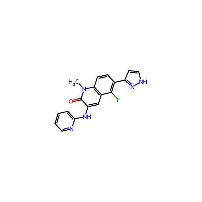 Cn1c(=O)c(Nc2ccccn2)cc2c(F)c(-c3cc[nH]n3)ccc21